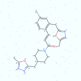 Cc1cnc(Cc2cc(Cl)ccc2/C=C/C(=O)N2CCC(Cc3nnc(C)o3)CC2)o1